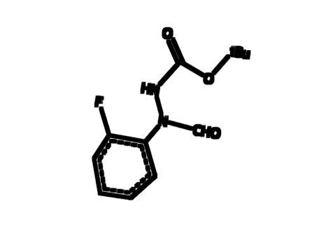 CC(C)(C)OC(=O)NN(C=O)c1ccccc1F